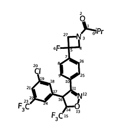 CC(C)C(=O)N1CC(F)(c2ccc(C3=NOC(C(F)(F)F)C3c3cc(Cl)cc(C(F)(F)F)c3)cc2)C1